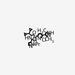 Cc1n[nH]c(C)c1-c1ccc(NC(=O)[C@@H](NC(=O)c2ccnn2C(C)C)C(C2CC2)C2CC2)nc1Cl